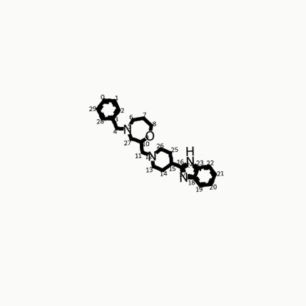 c1ccc(CN2CCCOC(CN3CCC(c4nc5ccccc5[nH]4)CC3)C2)cc1